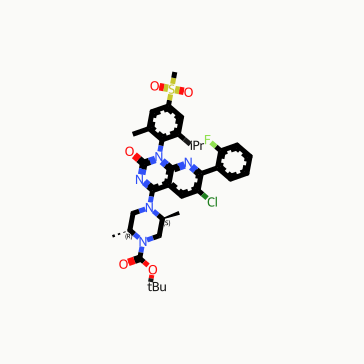 Cc1cc(S(C)(=O)=O)cc(C(C)C)c1-n1c(=O)nc(N2C[C@@H](C)N(C(=O)OC(C)(C)C)C[C@@H]2C)c2cc(Cl)c(-c3ccccc3F)nc21